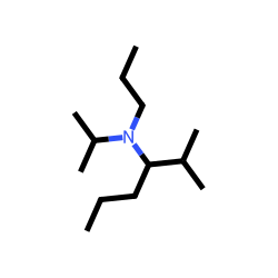 CCCC(C(C)C)N(CCC)C(C)C